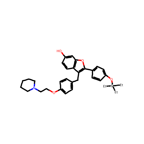 CC[Si](CC)(CC)Oc1ccc(-c2oc3cc(O)ccc3c2Cc2ccc(OCCN3CCCCC3)cc2)cc1